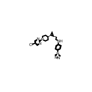 Clc1cnc(N2CCC([C@H]3C[C@H]3CCNc3ccc(-n4cnnc4)cc3)CC2)nc1